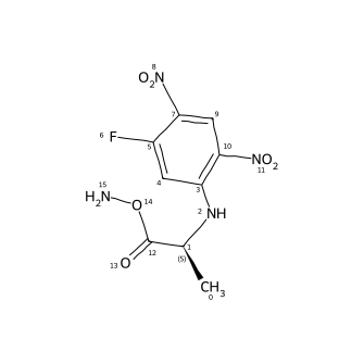 C[C@H](Nc1cc(F)c([N+](=O)[O-])cc1[N+](=O)[O-])C(=O)ON